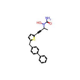 CC(C#Cc1ccc(Cc2ccc(-c3ccccc3)cc2)s1)N(O)C(N)=O